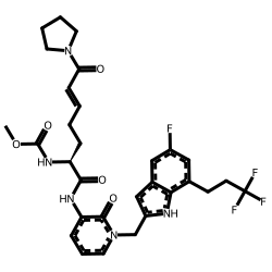 COC(=O)N[C@@H](CC/C=C/C(=O)N1CCCC1)C(=O)Nc1cccn(Cc2cc3cc(F)cc(CCC(F)(F)F)c3[nH]2)c1=O